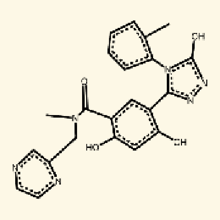 Cc1ccccc1-n1c(O)nnc1-c1cc(C(=O)N(C)Cc2cnccn2)c(O)cc1O